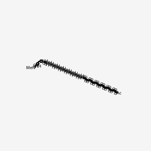 CNCC(=O)NC1CCC(CC2CCC(NC(=O)CC(=O)NCNNCNNCNNCNNCNNCNNCNNCNNCNNCNNCNNCNC(=O)CC(=O)C(=O)CC(=O)C(=O)CC(=O)C(=O)CC(=O)C(=O)CC(=O)C(=O)CC(=O)C(=O)CC(=O)C(=O)CC(=O)C(=O)CC(=O)C(=O)CC(=O)C(=O)CC(=O)C(=O)CC(C)=O)CC2)CC1